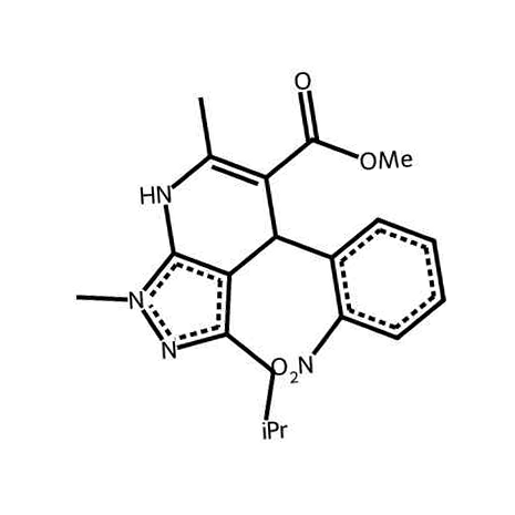 COC(=O)C1=C(C)Nc2c(c(CC(C)C)nn2C)C1c1ccccc1[N+](=O)[O-]